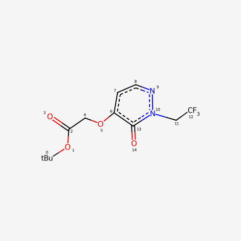 CC(C)(C)OC(=O)COc1ccnn(CC(F)(F)F)c1=O